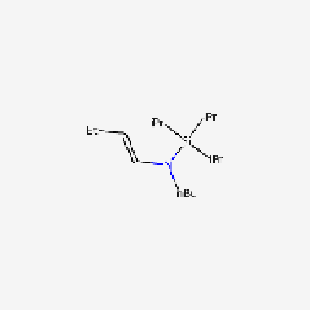 CCC=CN(CCCC)[Si](C(C)C)(C(C)C)C(C)C